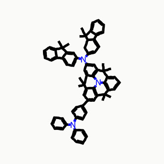 CC1(C)c2ccccc2-c2ccc(N(C3=CC=C4c5ccccc5C(C)(C)C4C3)c3cc4c5c(c3)C(C)(C)c3cc(-c6ccc(N(c7ccccc7)c7ccccc7)cc6)cc6c3N5c3c(cccc3C4(C)C)C6(C)C)cc21